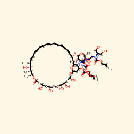 C=CCOC(=O)N[C@@H]1[C@H](O)[C@H](O[C@H]2/C=C/C=C/C=C/C=C/C=C/C=C/C=C/[C@H](C)[C@@H](O)[C@@H](C)[C@H](C)OC(=O)C[C@H](O)C[C@H](O)CC[C@@H](O)[C@H](O)C[C@H](O)C[C@]3(O)C[C@H](OC(=O)OCC=C)[C@@H](NC(=O)NCCN(C(=O)OCC=C)C(CO)CO)[C@H](C2)O3)O[C@H](C)[C@H]1O